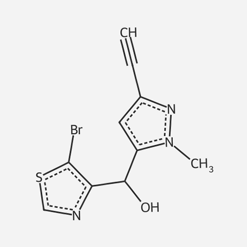 C#Cc1cc(C(O)c2ncsc2Br)n(C)n1